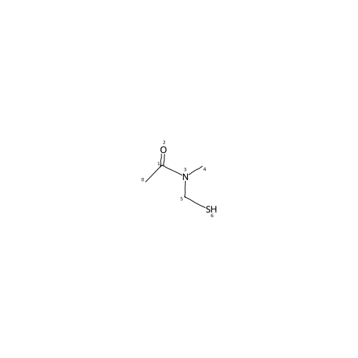 CC(=O)N(C)CS